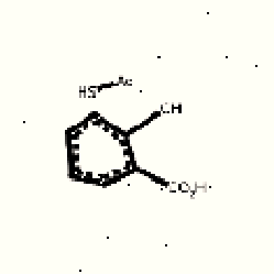 CC(=O)S.O=C(O)c1ccccc1O